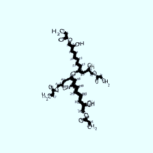 C=CC(=O)OCC(O)CCCCCCC(CC(O)COC(=O)C=C)OC(CCCCCCC(O)COC(=O)C=C)CC(O)COC(=O)C=C